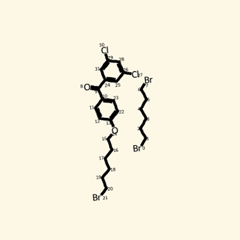 BrCCCCCCBr.O=C(c1ccc(OCCCCCCBr)cc1)c1cc(Cl)cc(Cl)c1